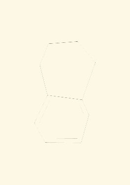 [C]1CCc2c[c]ccc2C1